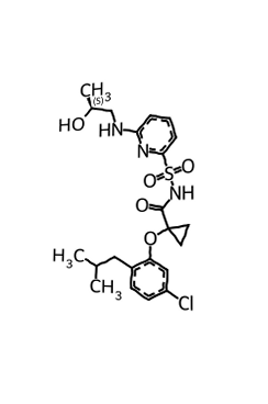 CC(C)Cc1ccc(Cl)cc1OC1(C(=O)NS(=O)(=O)c2cccc(NC[C@H](C)O)n2)CC1